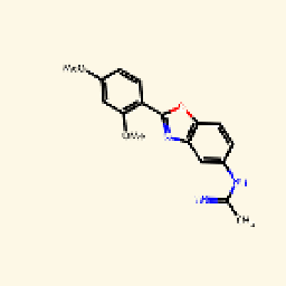 COc1ccc(-c2nc3cc(NC(C)=N)ccc3o2)c(OC)c1